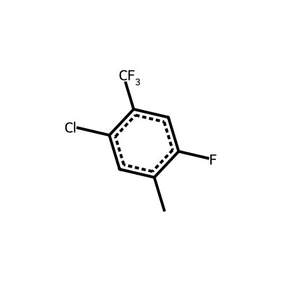 Cc1cc(Cl)c(C(F)(F)F)cc1F